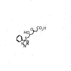 O=C(O)CC(=O)C[C@H](O)CSC1(c2ccccc2)N=NN=N1